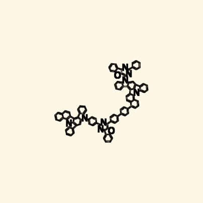 c1ccc(-c2nc(-n3c4ccccc4c4c5c6ccc7c(-c8ccc(-c9ccc(-c%10nc(-c%11ccc(-n%12c%13ccccc%13c%13c%14c%15ccc%16ccccc%16c%15n%15c%16ccccc%16c(cc%13%12)c%14%15)cc%11)nc%11c%10oc%10ccccc%10%11)cc9)cc8)cccc7c6n6c7ccccc7c(cc43)c56)c3oc4ccccc4c3n2)cc1